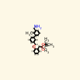 Cc1c(CN)cccc1-c1cccc(COc2ccccc2CC(=O)OC(C)(C)C)c1